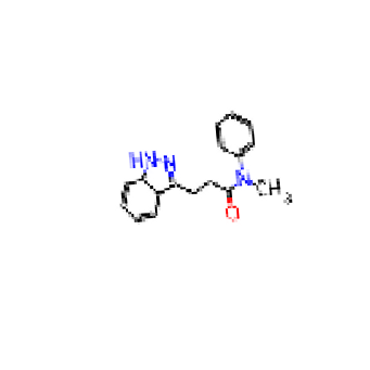 CN(C(=O)CCC1=NNC2C=CC=CC12)c1ccccc1